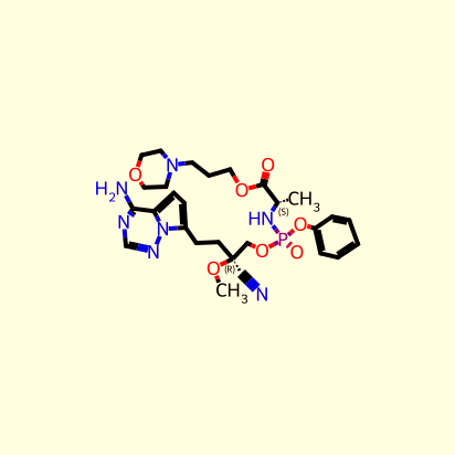 CO[C@@](C#N)(CCc1ccc2c(N)ncnn12)COP(=O)(N[C@@H](C)C(=O)OCCCN1CCOCC1)Oc1ccccc1